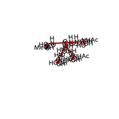 COP(=O)(O)OCC(CO)CCCCNC(=O)CCCCCCCCCCCNC(=O)[C@H](CCCCNC(=O)CCCC(=O)NCCOCCOC1OC(CO)C(O)C(O)C1NC(C)=O)NC(=O)[C@H](CCCCNC(=O)CCCC(=O)NCCOCCOC1OC(CO)C(O)C(O)C1NC(C)=O)NC(=O)CCCC(=O)NCCOCCOC1OC(CO)C(O)C(O)C1NC(C)=O